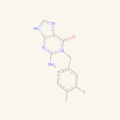 Cc1ccc(Cn2c(N)nc3[nH]cnc3c2=O)cc1F